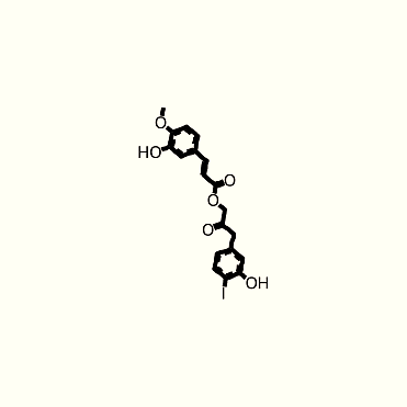 COc1ccc(/C=C/C(=O)OCC(=O)Cc2ccc(I)c(O)c2)cc1O